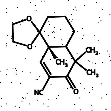 CC1(C)C(=O)C(C#N)=C[C@@]2(C)C1CCCC21OCCO1